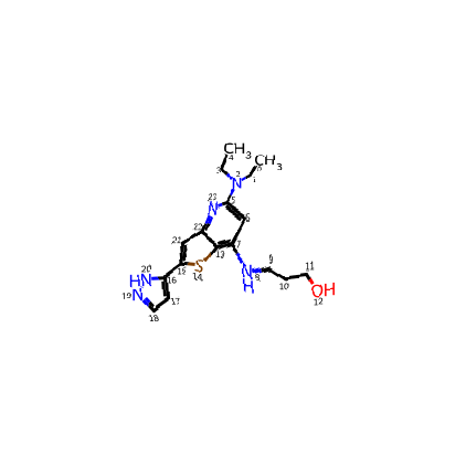 CCN(CC)c1cc(NCCCO)c2sc(-c3ccn[nH]3)cc2n1